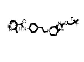 Cc1nnccc1C(=O)N[C@H]1CC[C@H](CCN2CCc3sc(OCC(C)(F)F)nc3C2)CC1